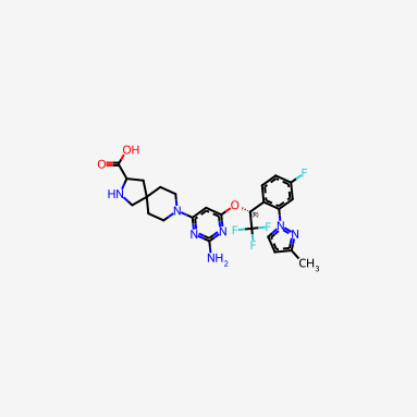 Cc1ccn(-c2cc(F)ccc2[C@@H](Oc2cc(N3CCC4(CC3)CNC(C(=O)O)C4)nc(N)n2)C(F)(F)F)n1